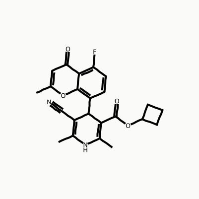 CC1=C(C#N)C(c2ccc(F)c3c(=O)cc(C)oc23)C(C(=O)OC2CCC2)=C(C)N1